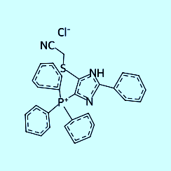 N#CCSc1[nH]c(-c2ccccc2)nc1[P+](c1ccccc1)(c1ccccc1)c1ccccc1.[Cl-]